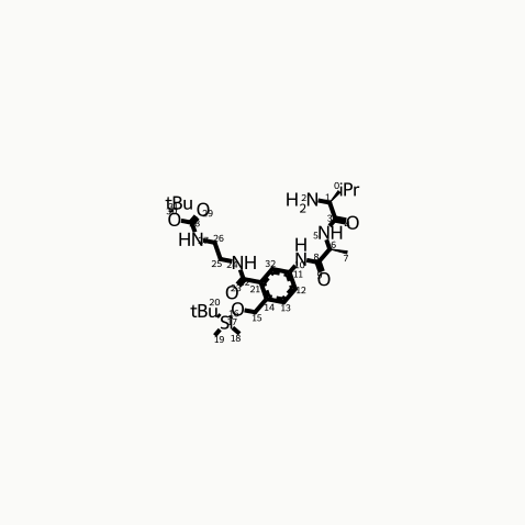 CC(C)[C@H](N)C(=O)N[C@@H](C)C(=O)Nc1ccc(CO[Si](C)(C)C(C)(C)C)c(C(=O)NCCNC(=O)OC(C)(C)C)c1